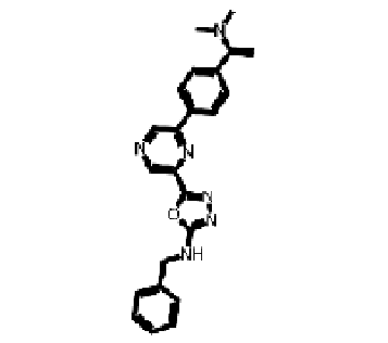 C=C(c1ccc(-c2cncc(-c3nnc(NCc4ccccc4)o3)n2)cc1)N(C)C